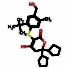 Cc1cc(SC2=C(O)CC(C3CCCC3)(C3CCCC3)OC2=O)c(C(C)(C)C)cc1CO